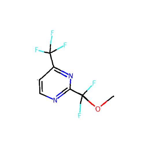 COC(F)(F)c1nc[c]c(C(F)(F)F)n1